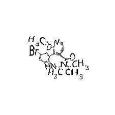 CCOc1nccc2c1-c1cc(Br)ccc1NC(C)N(C(C)C)C2=O